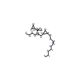 CCCCC/C=C\CCC1CC1CN(CCCC)C(=O)C1CC1